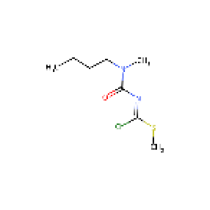 CCCCN(C)C(=O)N=C(Cl)SC